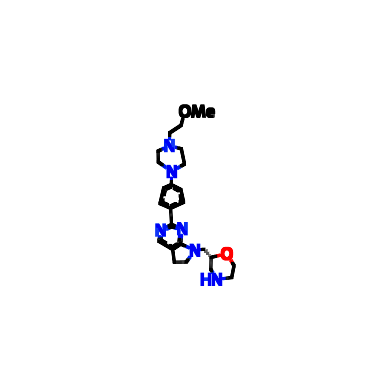 COCCN1CCN(c2ccc(-c3ncc4c(n3)N(C[C@H]3CNCCO3)CC4)cc2)CC1